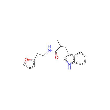 CC(Cc1c[nH]c2ccccc12)C(=O)NCCc1ccco1